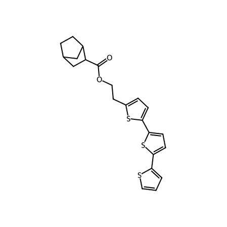 O=C(OCCc1ccc(-c2ccc(-c3cccs3)s2)s1)C1CC2CCC1C2